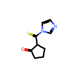 O=C1CCCC1C(=S)n1ccnc1